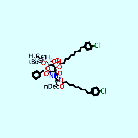 CCCCCCCCCCC[C@@H](CC(=O)[C@@H]1[C@@H](OC(=O)CCCCCCCCc2ccc(Cl)cc2)[C@H](O)[C@@H](CO[Si](C)(C)C(C)(C)C)O[C@@]1(N)OCc1ccccc1)OC(=O)CCCCCCCCc1ccc(Cl)cc1